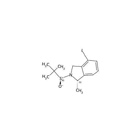 C[C@H]1c2cccc(I)c2CN1[S@@+]([O-])C(C)(C)C